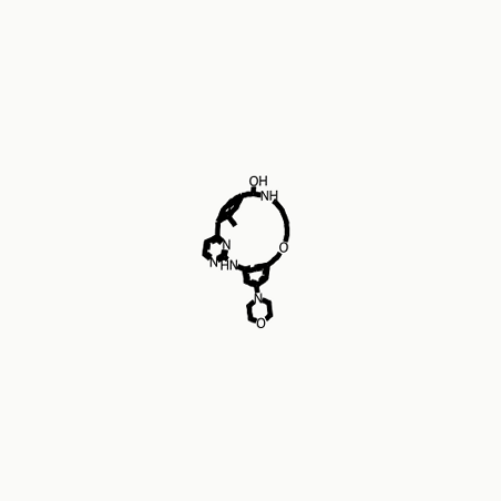 Cc1cc2ccc1-c1ccnc(n1)Nc1cc(cc(N3CCOCC3)c1)COCCCCNC2O